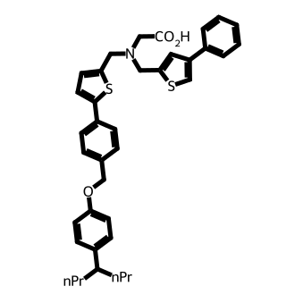 CCCC(CCC)c1ccc(OCc2ccc(-c3ccc(CN(CC(=O)O)Cc4cc(-c5ccccc5)cs4)s3)cc2)cc1